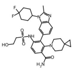 Cc1nc2ccc(-c3c(NS(=O)(=O)CCO)ccc(C(N)=O)c3N3CCC4(CC3)CC4)cc2n1C1CCC(F)(F)CC1